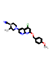 COc1ccc(COc2cc(Cl)c3cc(N4CCB(C#N)C(C)C4)cnc3n2)cc1